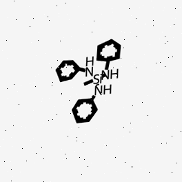 C[Si](Nc1ccccc1)(Nc1ccccc1)Nc1ccccc1